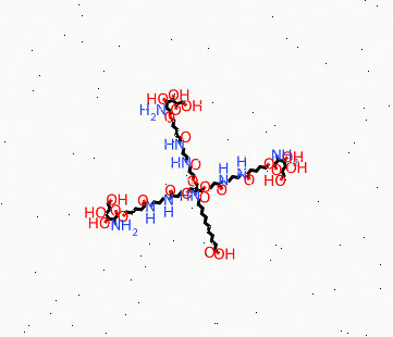 NC1C(OCCCCC(=O)NCCCNC(=O)CCOCC(COCCC(=O)NCCCNC(=O)CCCCOC2OC(CO)C(O)C(O)C2N)(COCCC(=O)NCCCNC(=O)CCCCOC2OC(CO)C(O)C(O)C2N)NC(=O)CCCCCCCCCCC(=O)O)OC(CO)C(O)C1O